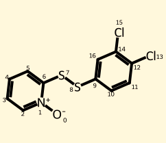 [O-][n+]1ccccc1SSc1ccc(Cl)c(Cl)c1